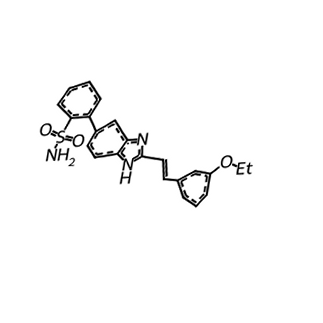 CCOc1cccc(C=Cc2nc3cc(-c4ccccc4S(N)(=O)=O)ccc3[nH]2)c1